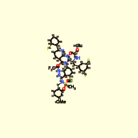 COc1ccc(CN(c2nn(CC(F)(F)F)c3c(-n4c([C@H](Cc5cc(F)cc(F)c5)NC(=O)OC(C)(C)C)nc5nc(-c6ccccc6F)ccc5c4=O)ccc(Cl)c23)S(C)(=O)=O)cc1